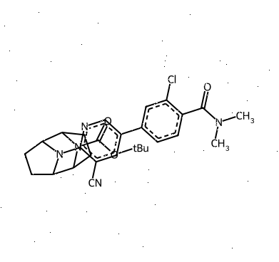 CN(C)C(=O)c1ccc(-c2cnc(N3C4CCC3C3CCC4N3C(=O)OC(C)(C)C)c(C#N)c2)cc1Cl